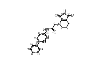 O=C(CN1CCCC2=C1C(=O)NC2=O)Nc1ccc(-c2ccccc2)nn1